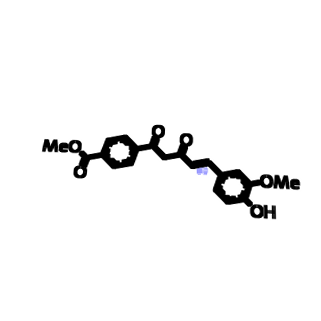 COC(=O)c1ccc(C(=O)CC(=O)/C=C/c2ccc(O)c(OC)c2)cc1